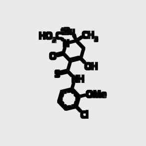 COc1c(Cl)cccc1NC(=S)C1=C(O)C[C@](C)(C(C)(C)C)N(C(=O)O)C1=O